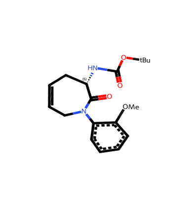 COc1ccccc1N1CC=CC[C@H](NC(=O)OC(C)(C)C)C1=O